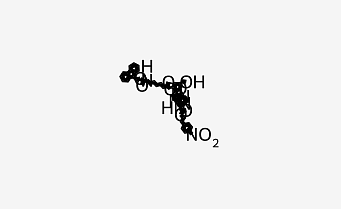 O=C(CCCCCNC(=O)OCC1c2ccccc2-c2ccccc21)O[C@@H]1C[C@@H](CO)O[C@H]1n1cnc2c(NC(=O)OCCc3ccc([N+](=O)[O-])cc3)ncnc21